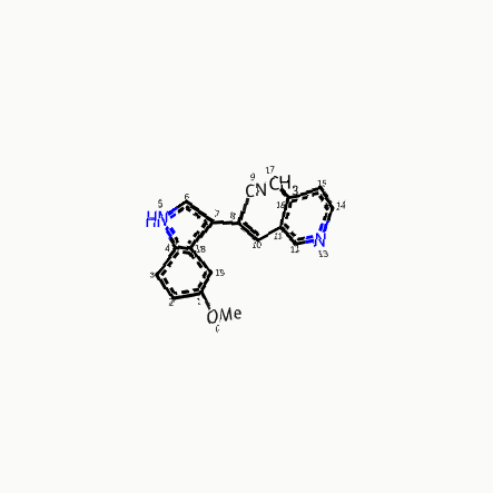 COc1ccc2[nH]cc(C(C#N)=Cc3cnccc3C)c2c1